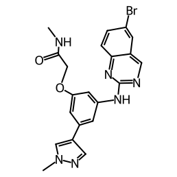 CNC(=O)COc1cc(Nc2ncc3cc(Br)ccc3n2)cc(-c2cnn(C)c2)c1